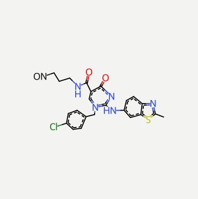 Cc1nc2ccc(Nc3nc(=O)c(C(=O)NCCCN=O)cn3Cc3ccc(Cl)cc3)cc2s1